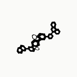 c1cc(-c2ccc3oc4cc5c(cc4c3c2)oc2ccc(-c3ccc4ccccc4c3)cc25)cc(-c2cc3ccccc3c3ccccc23)c1